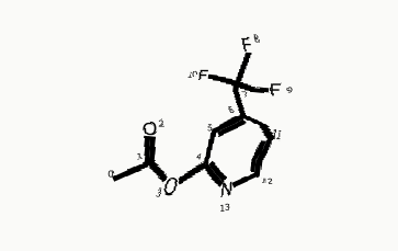 CC(=O)Oc1cc(C(F)(F)F)ccn1